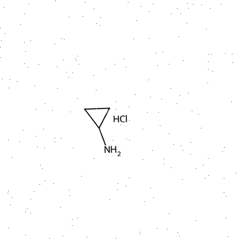 Cl.NC1CC1